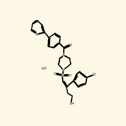 Cl.O=C(c1ccc(-c2ccccn2)cc1)N1CCN(S(=O)(=O)C=C(CCO)c2ccc(Cl)cc2)CC1